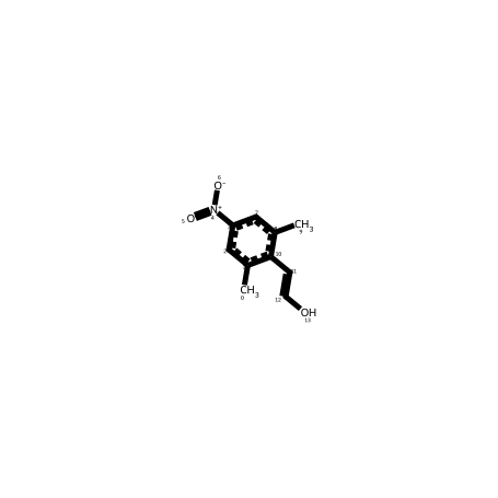 Cc1cc([N+](=O)[O-])cc(C)c1C=CO